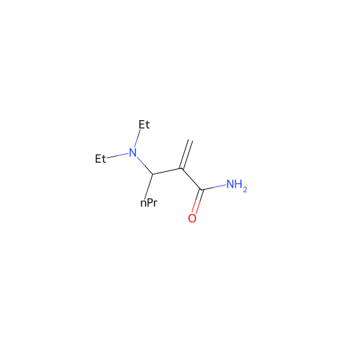 C=C(C(N)=O)C(CCC)N(CC)CC